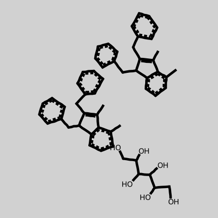 CC1=C(Cc2ccccc2)C(Cc2ccccc2)c2cccc(C)c21.CC1=C(Cc2ccccc2)C(Cc2ccccc2)c2cccc(C)c21.OCC(O)C(O)C(O)C(O)CO